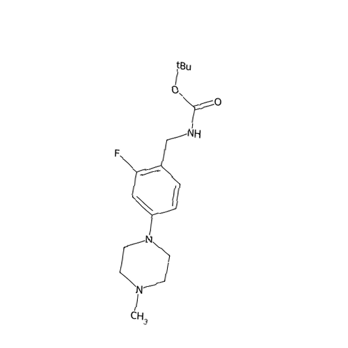 CN1CCN(c2ccc(CNC(=O)OC(C)(C)C)c(F)c2)CC1